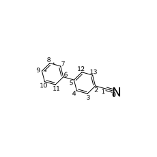 N#Cc1ccc(-c2c[c][c]cc2)cc1